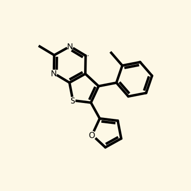 Cc1n[c]c2c(-c3ccccc3C)c(-c3ccco3)sc2n1